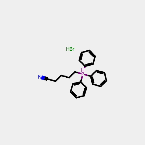 Br.N#CCCCC[PH](c1ccccc1)(c1ccccc1)c1ccccc1